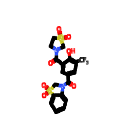 O=C(c1cc(C(=O)N2CS(=O)(=O)c3ccccc32)cc(C(F)(F)F)c1O)N1CCS(=O)(=O)C1